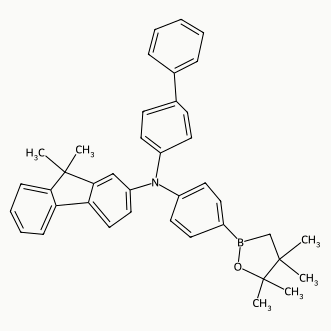 CC1(C)c2ccccc2-c2ccc(N(c3ccc(B4CC(C)(C)C(C)(C)O4)cc3)c3ccc(-c4ccccc4)cc3)cc21